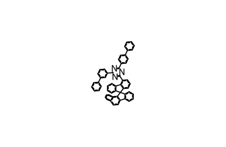 c1ccc(-c2ccc(-c3nc(-c4cccc(-c5ccccc5)c4)nc(-c4cccc5c4-c4ccccc4C54c5ccccc5-c5ccc6ccccc6c54)n3)cc2)cc1